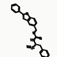 O=C(NC(Cc1ccccc1)C(=O)O)OCc1ccc2oc(-c3ccccc3)cc2c1